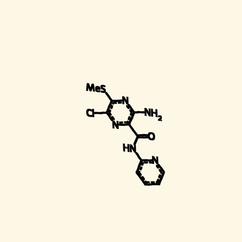 CSc1nc(N)c(C(=O)Nc2ccccn2)nc1Cl